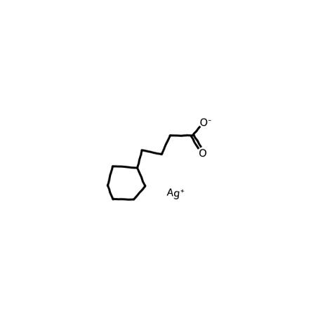 O=C([O-])CCCC1CCCCC1.[Ag+]